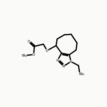 CC(C)(C)Cn1nnc2c1CCCCCC2OCC(=O)OC(C)(C)C